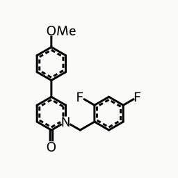 COc1ccc(-c2ccc(=O)n(Cc3ccc(F)cc3F)c2)cc1